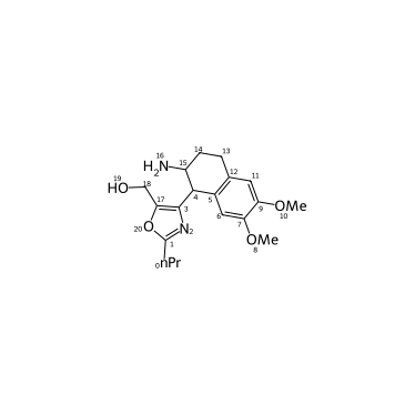 CCCc1nc(C2c3cc(OC)c(OC)cc3CCC2N)c(CO)o1